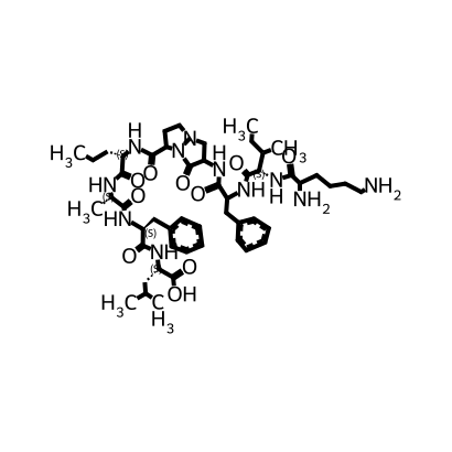 CCC[C@H](NC(=O)C1CCN2CC(NC(=O)C(Cc3ccccc3)NC(=O)[C@@H](NC(=O)C(N)CCCCN)C(C)CC)C(=O)N12)C(=O)N[C@@H](C)C(=O)N[C@@H](Cc1ccccc1)C(=O)N[C@@H](CC(C)C)C(=O)O